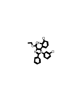 CCOC(=O)c1nc(-c2ccccc2)n(-c2cccc(Cl)c2)c1-c1cccc(Cl)c1F